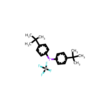 CC(C)(C)c1ccc([I+]c2ccc(C(C)(C)C)cc2)cc1.F[B-](F)(F)F